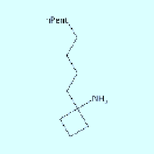 CCCCCCCCCC1(N)CCC1